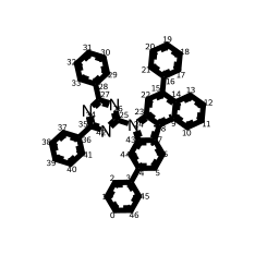 c1ccc(-c2ccc3c4c5ccccc5c(-c5ccccc5)cc4n(-c4nc(-c5ccccc5)nc(-c5ccccc5)n4)c3c2)cc1